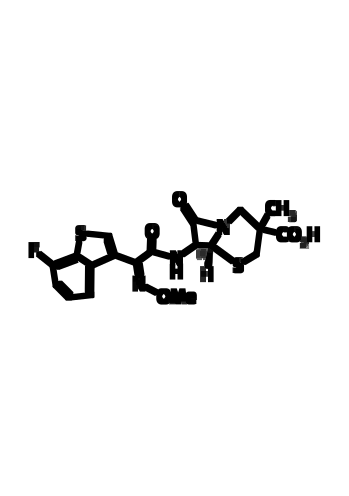 CON=C(C(=O)NC1C(=O)N2CC(C)(C(=O)O)CS[C@H]12)c1csc2c(F)cccc12